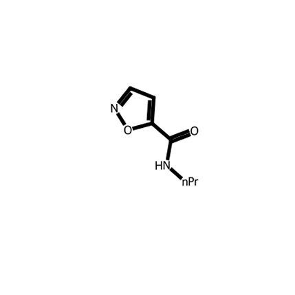 CCCNC(=O)c1ccno1